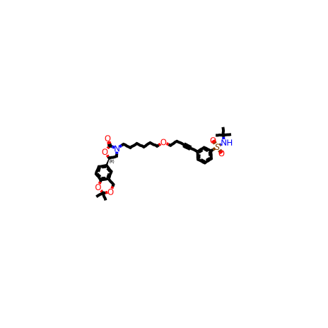 CC(C)(C)NS(=O)(=O)c1cccc(C#CCCOCCCCCCN2C[C@@H](c3ccc4c(c3)COC(C)(C)O4)OC2=O)c1